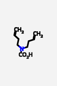 C=CCCN(CCC=C)C(=O)O